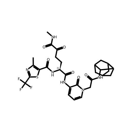 CNC(=O)C(=O)CC[C@H](NC(=O)c1sc(C(F)(F)F)nc1C)C(=O)Nc1cccn(CC(=O)NC2C3CC4CC(C3)C2C4)c1=O